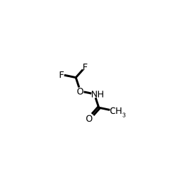 CC(=O)NOC(F)F